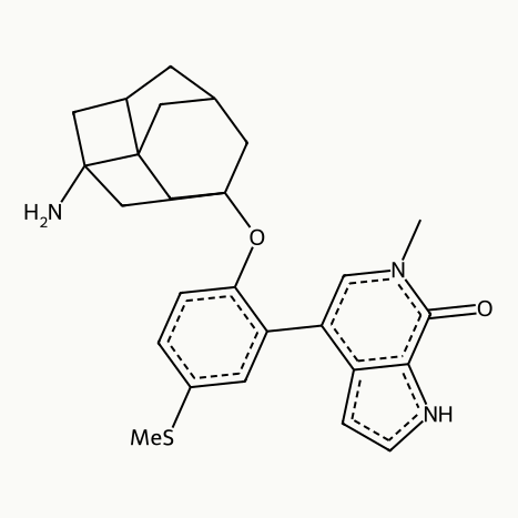 CSc1ccc(OC23CC4CC5CC(N)(C2)C5(C4)C3)c(-c2cn(C)c(=O)c3[nH]ccc23)c1